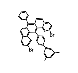 Cc1cc(C)cc(-c2ccc(-c3c4c(ccc5ccc(Br)cc54)c(-c4ccccc4)c4ccc5ccc(Br)cc5c34)cc2)c1